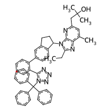 CCc1nc2c(C)cc(CC(C)(C)O)nc2n1C1CCc2cc(-c3ccccc3-c3nnnn3C(c3ccccc3)(c3ccccc3)c3ccccc3)ccc21